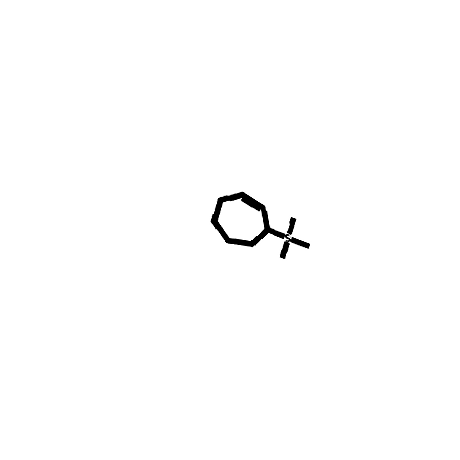 C[Si](C)(C)C1C=CCCCC1